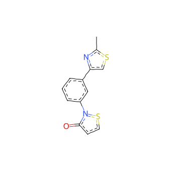 Cc1nc(-c2cccc(-n3sccc3=O)c2)cs1